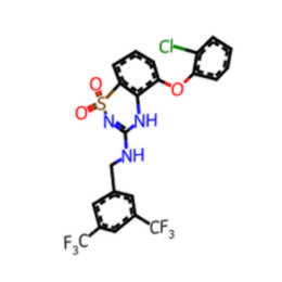 O=S1(=O)N=C(NCc2cc(C(F)(F)F)cc(C(F)(F)F)c2)Nc2c(Oc3ccccc3Cl)cccc21